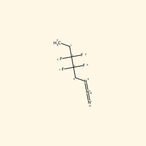 CCC(F)(F)C(F)(F)CN=[N+]=[N-]